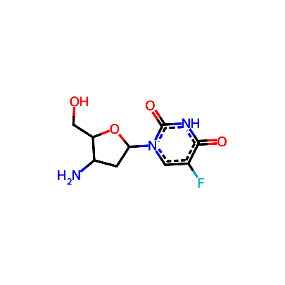 NC1CC(n2cc(F)c(=O)[nH]c2=O)OC1CO